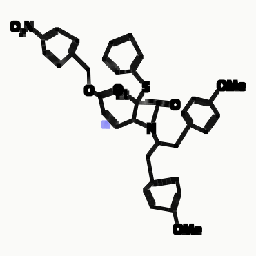 CCC1(Sc2ccccc2)C(=O)N(C(Cc2ccc(OC)cc2)Cc2ccc(OC)cc2)C1/C=C\C(=O)OCc1ccc([N+](=O)[O-])cc1